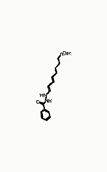 CCCCCCCCCCCCCCCCCCNNC(=O)c1ccccc1